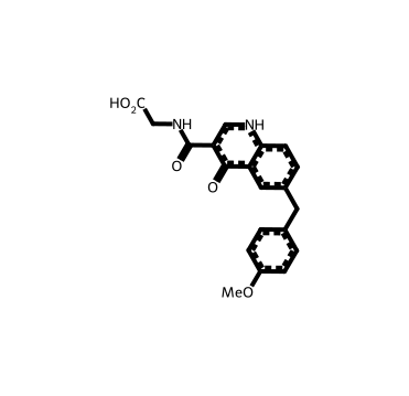 COc1ccc(Cc2ccc3[nH]cc(C(=O)NCC(=O)O)c(=O)c3c2)cc1